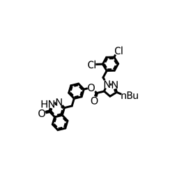 CCCCC1=NN(Cc2ccc(Cl)cc2Cl)C(C(=O)Oc2cccc(Cc3n[nH]c(=O)c4ccccc34)c2)C1